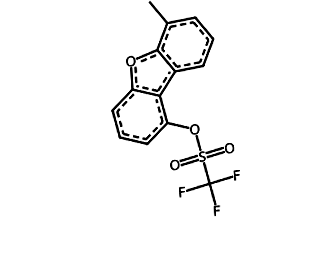 Cc1cccc2c1oc1cccc(OS(=O)(=O)C(F)(F)F)c12